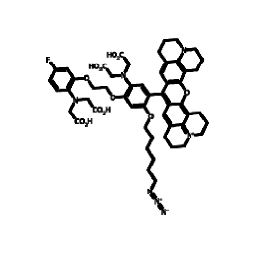 [N-]=[N+]=NCCCCCCOc1cc(OCCOc2cc(F)ccc2N(CC(=O)O)CC(=O)O)c(N(CC(=O)O)CC(=O)O)cc1C1=c2cc3c4c(c2Oc2c1cc1c5c2CCCN5CCC1)CCC[N+]=4CCC3